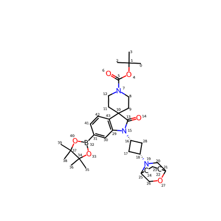 CC(C)(C)OC(=O)N1CCC2(CC1)C(=O)N([C@H]1C[C@@H](N3CC4CCCC3CO4)C1)c1cc(B3OC(C)(C)C(C)(C)O3)ccc12